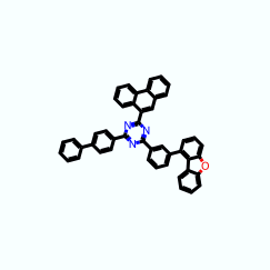 c1ccc(-c2ccc(-c3nc(-c4cccc(-c5cccc6oc7ccccc7c56)c4)nc(-c4cc5ccccc5c5ccccc45)n3)cc2)cc1